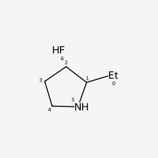 CCC1CCCN1.F